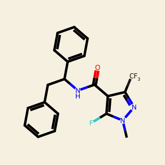 Cn1nc(C(F)(F)F)c(C(=O)NC(Cc2ccccc2)c2ccccc2)c1F